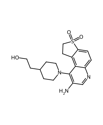 Nc1cnc2ccc3c(c2c1N1CCC(CCO)CC1)CCS3(=O)=O